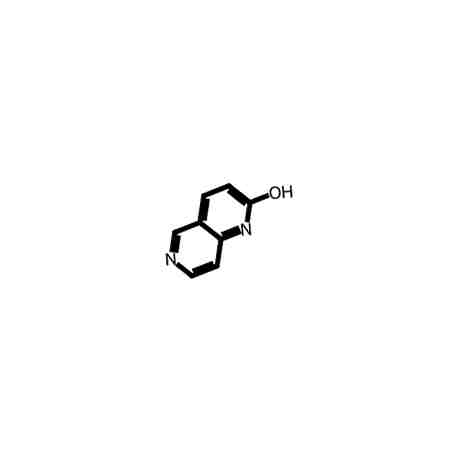 Oc1ccc2cnccc2n1